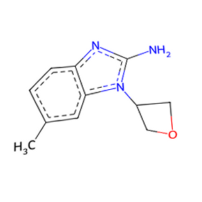 Cc1ccc2nc(N)n(C3COC3)c2c1